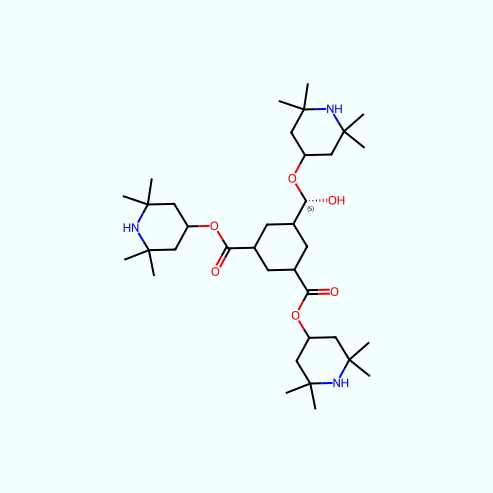 CC1(C)CC(OC(=O)C2CC(C(=O)OC3CC(C)(C)NC(C)(C)C3)CC([C@@H](O)OC3CC(C)(C)NC(C)(C)C3)C2)CC(C)(C)N1